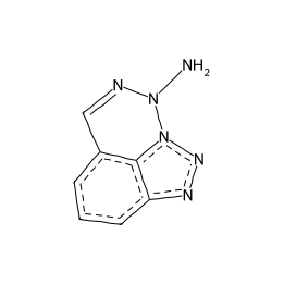 NN1N=Cc2cccc3nnn1c23